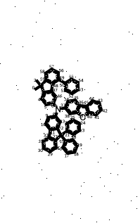 CC1(C)c2ccc(N(c3ccc4c(c3)C(c3ccccc3)(c3ccccc3)c3ccccc3-4)c3ccc4c(c3)oc3ccccc34)cc2-c2c(-c3ccccc3)cccc21